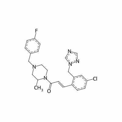 CC1CN(Cc2ccc(F)cc2)CCN1C(=O)C=Cc1ccc(Cl)cc1Cn1cncn1